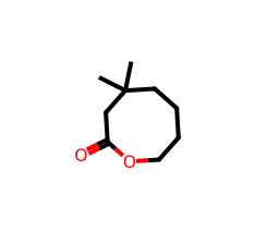 CC1(C)CCCCOC(=O)C1